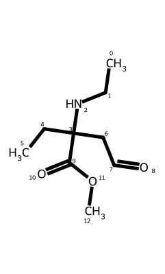 CCNC(CC)(CC=O)C(=O)OC